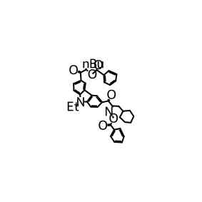 CCCCC(OC(=O)c1ccccc1)C(=O)c1ccc2c(c1)c1cc(C(=O)C(CC3CCCCC3)=NOC(=O)c3ccccc3)ccc1n2CC